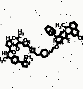 CCc1cccc2cc(O)cc(-c3ncc4c(N5CC6CCC(C5)N6)nc(OCCN5CCC(CC6CN(c7cc([C@@H](C(=O)N8CCCC8C(=O)NC(C)c8ccc(-c9ccnn9C)cc8)C(C)C)on7)C6)CC5)nc4c3F)c12